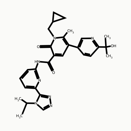 Cc1c(-c2ccc(C(C)(C)O)nc2)cc(C(=O)Nc2cccc(-c3nncn3C(C)C)n2)c(=O)n1CC1CC1